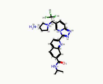 CC(C)NC(=O)c1ccc2ccc(-c3nnc4ccc([C@H](N5CC[C@H](N)C5)C(F)(F)F)cn34)nc2c1